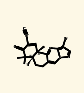 [C-]#[N+]C1=C[C@]2(C)c3nc4c(Br)cnn4cc3CC[C@H]2C(C)(C)C1=O